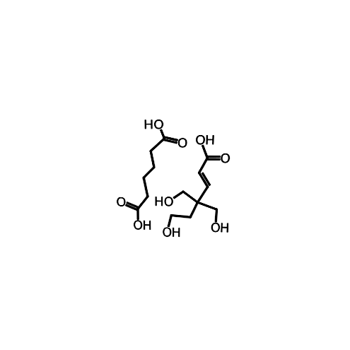 O=C(O)C=CC(CO)(CO)CCO.O=C(O)CCCCC(=O)O